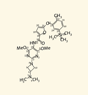 COc1nc(N2CC(N(C)C)C2)nc(OC)c1NC(=O)c1ccc(Oc2cc([Si](C)(C)C)ccc2C)o1